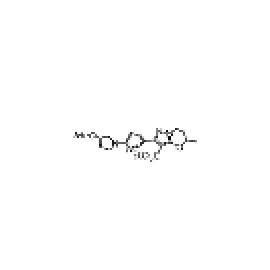 CCOC(=O)c1c(-c2ccc(N3CC[C@@H](OC)C3)nc2)nn2c1O[C@H](C)CC2